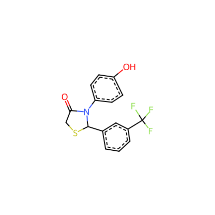 O=C1CSC(c2cccc(C(F)(F)F)c2)N1c1ccc(O)cc1